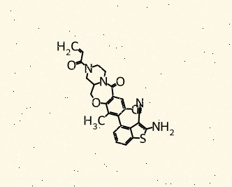 C=CC(=O)N1CCN2C(=O)c3cc(Cl)c(-c4cccc5sc(N)c(C#N)c45)c(C)c3OCC2C1